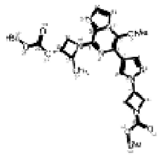 COc1c(-c2cnn(C3CN(C(=O)OC(C)(C)C)C3)c2)nc(N2C[C@@H](OC(=O)OC(C)(C)C)[C@@H]2C)c2nccn12